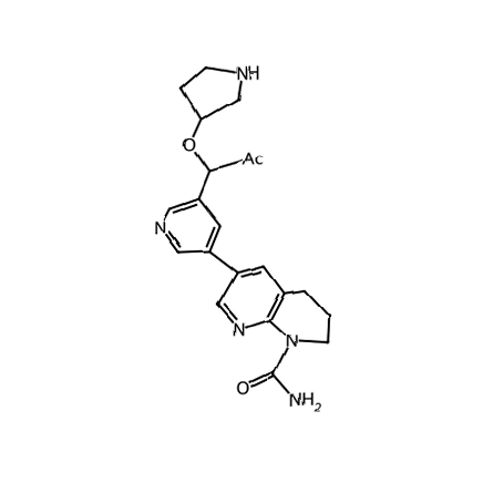 CC(=O)C(OC1CCNC1)c1cncc(-c2cnc3c(c2)CCCN3C(N)=O)c1